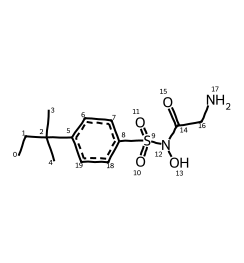 CCC(C)(C)c1ccc(S(=O)(=O)N(O)C(=O)CN)cc1